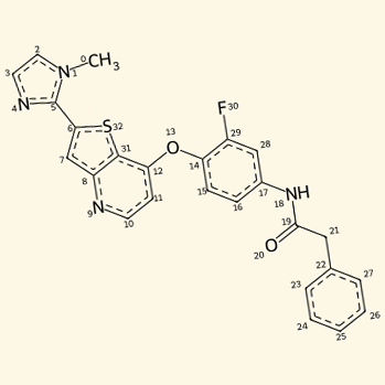 Cn1ccnc1-c1cc2nccc(Oc3ccc(NC(=O)Cc4ccccc4)cc3F)c2s1